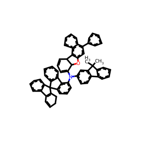 CC1(C)c2ccccc2-c2ccc(N(C3=CC=CC4c5c(cc(-c6ccccc6)c6ccccc56)OC34)c3cccc4c3-c3ccccc3C43C4=C(C=CCC4)c4ccccc43)cc21